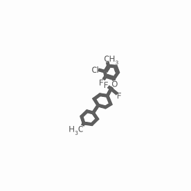 Cc1ccc(OC(F)(F)C2CCC(C3CCC(C)CC3)CC2)c(F)c1Cl